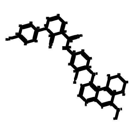 COc1cc2nccc(Oc3ccc(NC(=O)c4cccn(-c5ccc(F)cc5)c4=O)cc3F)c2c2c1OCCO2